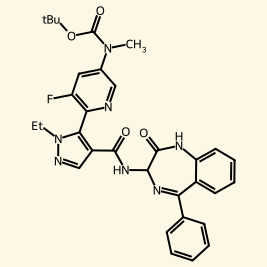 CCn1ncc(C(=O)NC2N=C(c3ccccc3)c3ccccc3NC2=O)c1-c1ncc(N(C)C(=O)OC(C)(C)C)cc1F